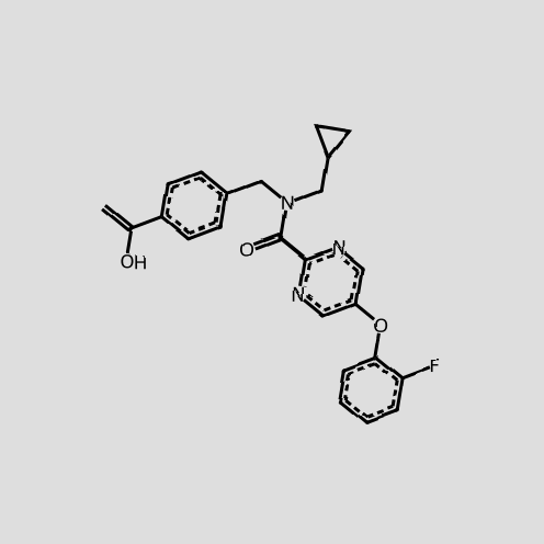 C=C(O)c1ccc(CN(CC2CC2)C(=O)c2ncc(Oc3ccccc3F)cn2)cc1